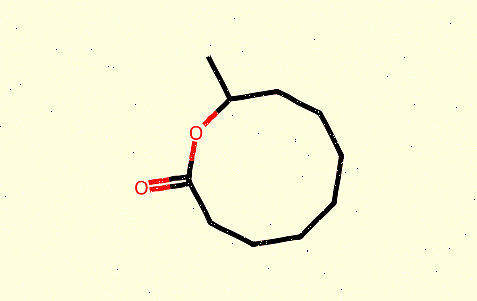 CC1CCCCCCCC(=O)O1